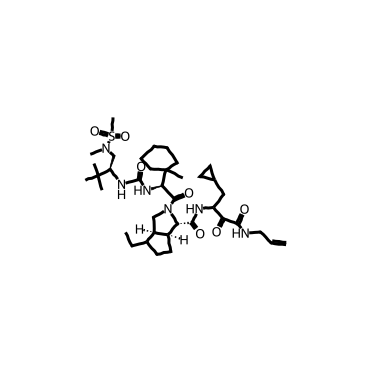 C=CCNC(=O)C(=O)C(CC1CC1)NC(=O)[C@@H]1[C@H]2CCC(CC)[C@H]2CN1C(=O)[C@@H](NC(=O)N[C@H](CN(C)S(C)(=O)=O)C(C)(C)C)C1(C)CCCCC1